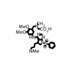 CNCCCC1CN(S(=O)(=O)c2ccccc2)c2ncnc(Nc3cc(CN(C)CC(=O)O)c(OC)c(OC)c3)c21